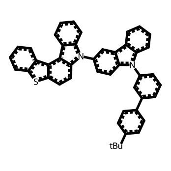 CC(C)(C)c1ccc(-c2cccc(-n3c4ccccc4c4cc(-n5c6ccccc6c6c7c(ccc65)sc5ccccc57)ccc43)c2)cc1